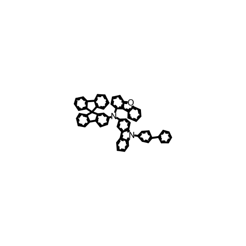 c1ccc(-c2ccc(-n3c4ccccc4c4cc(N(c5ccc6c(c5)C5(c7ccccc7-c7ccccc75)c5ccccc5-6)c5cccc6oc7ccccc7c56)ccc43)cc2)cc1